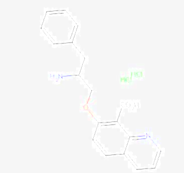 Cl.Cl.NC(COc1ccc2cccnc2c1C(=O)O)Cc1ccccc1